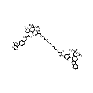 Cc1ncsc1-c1ccc(CNC(=O)[C@@H]2C[C@@H](O)CN2C(=O)[C@@H](NC(=O)COCCOCCOCCOCC(=O)Nc2cc(F)c([C@@H]3c4[nH]c5ccccc5c4C[C@@H](C)N3CC(C)(C)F)c(F)c2)C(C)(C)C)cc1